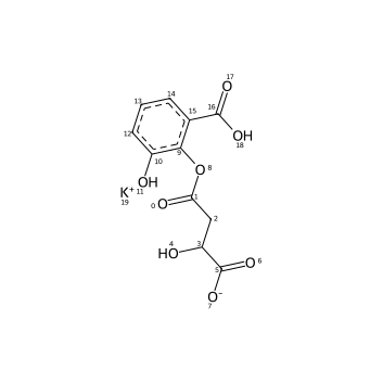 O=C(CC(O)C(=O)[O-])Oc1c(O)cccc1C(=O)O.[K+]